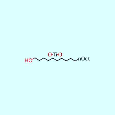 CCCCCCCCCCCCCCCCCCO.[O]=[Ti]=[O]